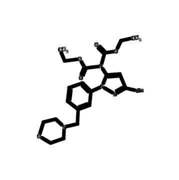 CC(C)(C)c1cc(N(C(=O)OCC(Cl)(Cl)Cl)C(=O)OCC(Cl)(Cl)Cl)n(-c2cccc(CN3CCOCC3)c2)n1